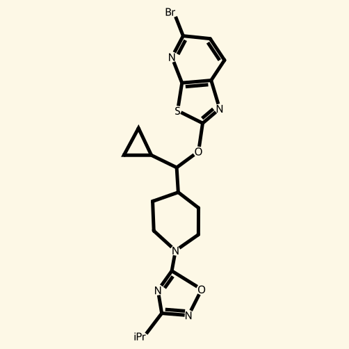 CC(C)c1noc(N2CCC(C(Oc3nc4ccc(Br)nc4s3)C3CC3)CC2)n1